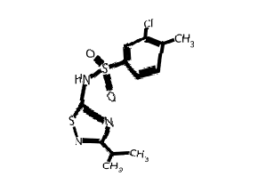 Cc1ccc(S(=O)(=O)Nc2nc(C(C)C)ns2)cc1Cl